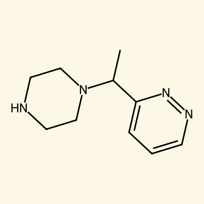 CC(c1cccnn1)N1CCNCC1